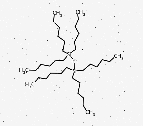 CCCCCC[Si](CCCCCC)(CCCCCC)[P][Si](CCCCCC)(CCCCCC)CCCCCC